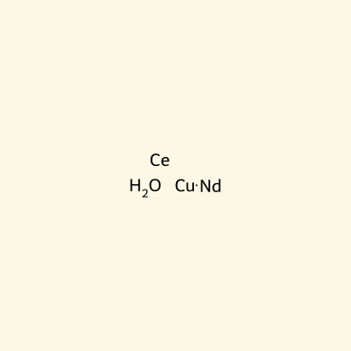 O.[Ce].[Cu].[Nd]